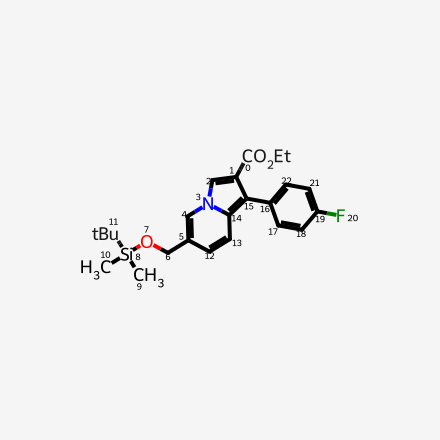 CCOC(=O)c1cn2cc(CO[Si](C)(C)C(C)(C)C)ccc2c1-c1ccc(F)cc1